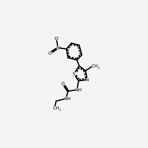 CCNC(=O)Nc1nc(C)c(-c2cccc([N+](=O)[O-])c2)s1